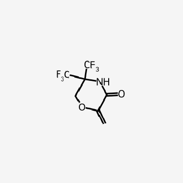 C=C1OCC(C(F)(F)F)(C(F)(F)F)NC1=O